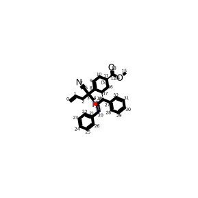 C=CCC(C#N)(C#N)C1=CC[C@@H](C(=O)OC)CC1[C@@H](/C=C/c1ccccc1)c1ccccc1